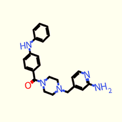 Nc1cc(CN2CCN(C(=O)c3ccc(Nc4ccccc4)cc3)CC2)ccn1